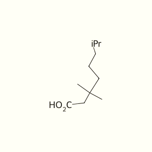 CC(C)CCCC(C)(C)CC(=O)O